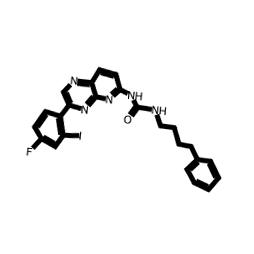 O=C(NCCCCc1ccccc1)Nc1ccc2ncc(-c3ccc(F)cc3I)nc2n1